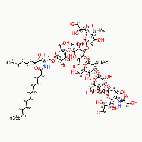 CCCCCCCCCCCCC/C=C/[C@@H](O)[C@H](CO[C@@H]1OC(CO)[C@@H](O[C@@H]2OC(CO)[C@H](O[C@@H]3OC(CO)[C@H](O)[C@H](O[C@@H]4OC(CO)[C@H](O)[C@H](O[C@]5(C(=O)O)CC(O)[C@@H](NC(=O)CO)C([C@H](O)[C@H](O)CO)O5)C4O)C3NC(C)=O)[C@H](O[C@]3(C(=O)O)CC(O)[C@@H](NC(C)=O)C([C@H](O)[C@H](O)CO)O3)C2O)[C@H](O)C1O)NC(=O)CCCCCCCCCCCCCCCCCCCCC